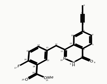 CC#Cc1ccc2c(=O)[nH]nc(Cc3ccc(F)c(C(=O)OC)c3)c2c1